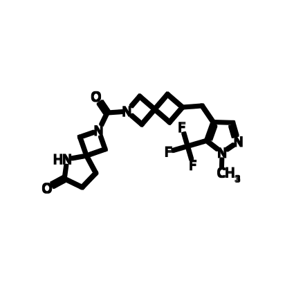 Cn1ncc(CC2CC3(C2)CN(C(=O)N2CC4(CCC(=O)N4)C2)C3)c1C(F)(F)F